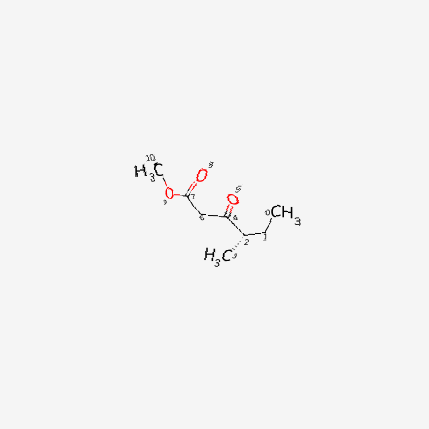 CC[C@H](C)C(=O)CC(=O)OC